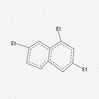 CCc1cc(CC)c2cc(CC)c[c]c2c1